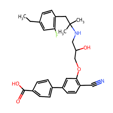 CCc1ccc(CC(C)(C)NCC(O)COc2cc(-c3ccc(C(=O)O)cc3)ccc2C#N)c(F)c1